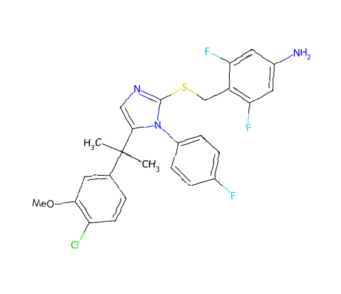 COc1cc(C(C)(C)c2cnc(SCc3c(F)cc(N)cc3F)n2-c2ccc(F)cc2)ccc1Cl